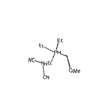 CC[PH](CC)(CC)COC.N#CNC#N